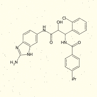 CC(C)c1ccc(C(=O)NC(c2ccccc2Cl)C(O)C(=O)Nc2ccc3nc(N)[nH]c3c2)cc1